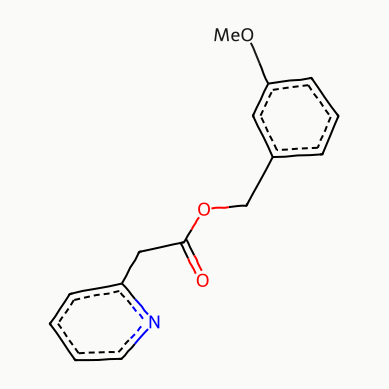 COc1cccc(COC(=O)Cc2ccccn2)c1